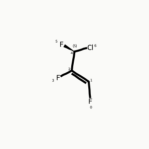 FC=C(F)[C@@H](F)Cl